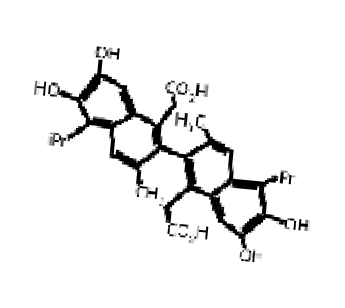 Cc1cc2c(C(C)C)c(O)c(O)cc2c(CC(=O)O)c1-c1c(C)cc2c(C(C)C)c(O)c(O)cc2c1CC(=O)O